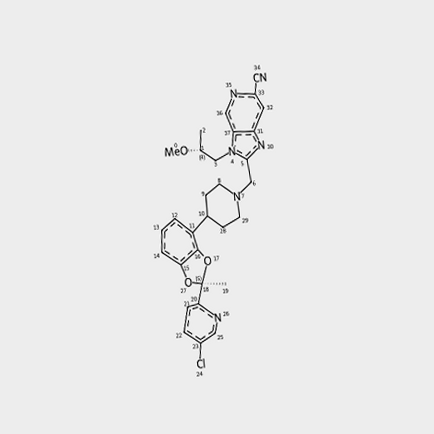 CO[C@H](C)Cn1c(CN2CCC(c3cccc4c3O[C@@](C)(c3ccc(Cl)cn3)O4)CC2)nc2cc(C#N)ncc21